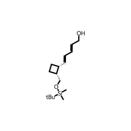 CC(C)(C)[Si](C)(C)OC[C@@H]1CC[C@@H]1/C=C/C=C/CO